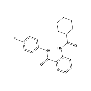 O=C(Nc1ccc(F)cc1)c1ccccc1NC(=O)C1CCCCC1